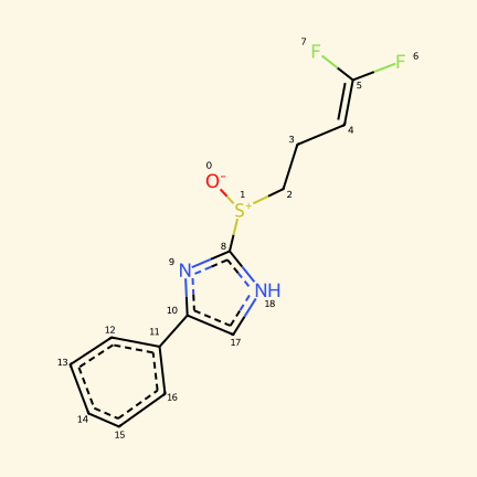 [O-][S+](CCC=C(F)F)c1nc(-c2ccccc2)c[nH]1